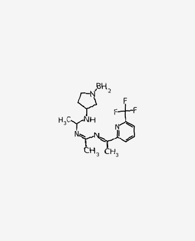 BN1CCC(NC(C)/N=C(C)\N=C(/C)c2cccc(C(F)(F)F)n2)C1